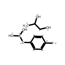 CC(O)CO.OB(O)Oc1ccc(F)cc1